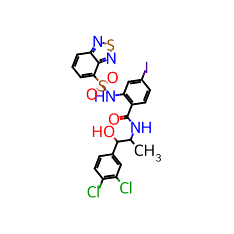 CC(NC(=O)c1ccc(I)cc1NS(=O)(=O)c1cccc2nsnc12)C(O)c1ccc(Cl)c(Cl)c1